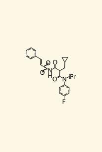 CC(C)N(C(=O)C(CC1CC1)C(=O)NS(=O)(=O)C=Cc1ccccc1)c1ccc(F)cc1